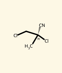 C[C@@](Cl)(C#N)CCl